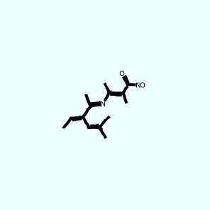 C/C=C(C=C(C)C)/C(C)=N/C(C)=C(\C)C(=O)N=O